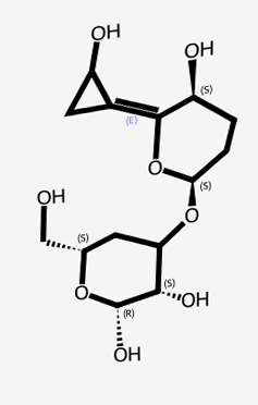 OC[C@@H]1CC(O[C@@H]2CC[C@H](O)/C(=C3/CC3O)O2)[C@H](O)[C@H](O)O1